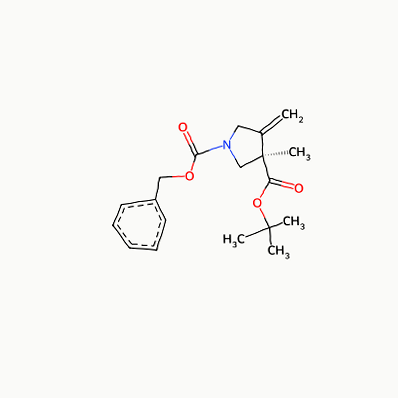 C=C1CN(C(=O)OCc2ccccc2)C[C@]1(C)C(=O)OC(C)(C)C